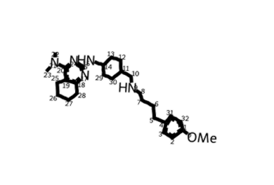 COc1ccc(CCCCNCC2CCC(Nc3nc4c(c(N(C)C)n3)CCCC4)CC2)cc1